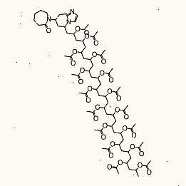 CCC(CC(CC(CC(CC(CC(CC(CC(CC(CC(CC(CC(CC(CC(CC(CC(CC(CC(C)OC(C)=O)OC(C)=O)OC(C)=O)OC(C)=O)OC(C)=O)OC(C)=O)OC(C)=O)OC(C)=O)OC(C)=O)OC(C)=O)OC(C)=O)OC(C)=O)OC(C)=O)OC(C)=O)OC(C)=O)OC(C)=O)n1ccnc1)N1CCCCCC1=O